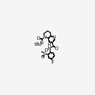 CC(C)(C)OC(=O)N1CCCc2ncc(C(=O)Nc3ccc(F)cc3S(C)(=O)=O)cc21